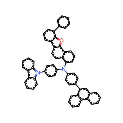 c1ccc(-c2cccc3c2oc2c4cccc(N(c5ccc(-c6cc7ccccc7c7ccccc67)cc5)c5ccc(-n6c7ccccc7c7ccccc76)cc5)c4ccc32)cc1